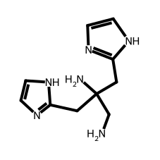 NCC(N)(Cc1ncc[nH]1)Cc1ncc[nH]1